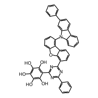 Oc1c(O)c(O)c(-c2nc(-c3ccccc3)nc(-c3cccc4c3oc3cccc(-n5c6ccccc6c6ccc(-c7ccccc7)cc65)c34)n2)c(O)c1O